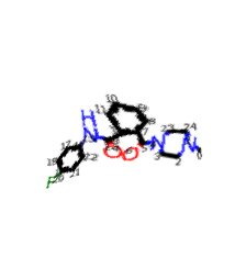 CN1CCN(C(=O)c2ccccc2C(=O)Nc2ccc(F)cc2)CC1